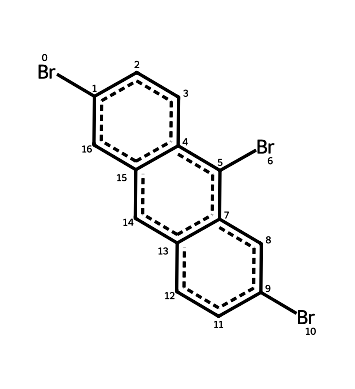 Brc1ccc2c(Br)c3cc(Br)ccc3cc2c1